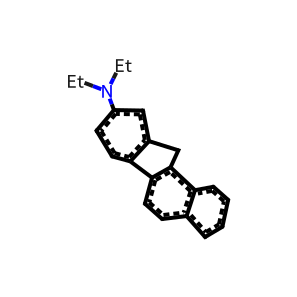 CCN(CC)c1ccc2c(c1)Cc1c-2ccc2ccccc12